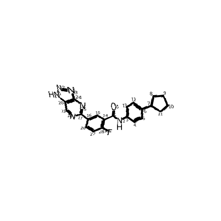 O=C(Nc1ccc(C2CCCC2)cc1)c1cc(-c2ncc3[nH]nnc3n2)ccc1F